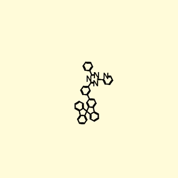 c1ccc(-c2nc(-c3cccc(-c4ccc5c(c4)C4(c6ccccc6-c6ccccc64)c4ccccc4-5)c3)nc(-c3ccccn3)n2)cc1